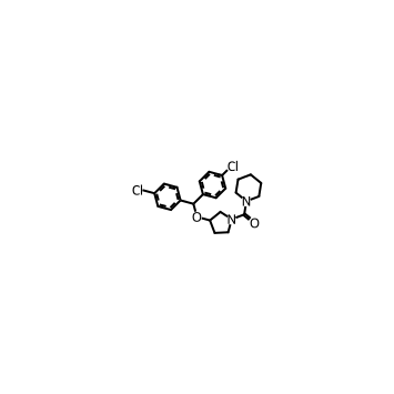 O=C(N1CCCCC1)N1CCC(OC(c2ccc(Cl)cc2)c2ccc(Cl)cc2)C1